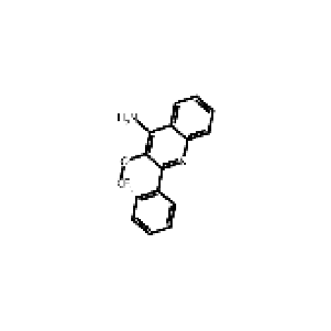 Nc1c(OC(F)(F)F)c(-c2ccccc2)nc2ccccc12